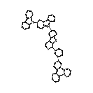 c1cc(-c2ccc3c4ccccc4c4ccccc4c3c2)cc(-c2nccc3c2sc2ccc(-n4c5ccccc5c5cc(-n6c7ccccc7c7ccccc76)ccc54)cc23)c1